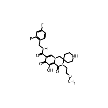 COCCN1C(=O)c2c(O)c(=O)c(C(=O)NCc3ccc(F)cc3F)cn2CC12CCNCC2